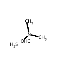 CN(C)C=O.S